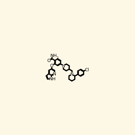 NC(=O)c1ccc(N2CCC(CN3CCCCC3c3ccc(Cl)cc3)CC2)cc1Oc1cnc2[nH]ccc2c1